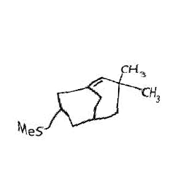 CSC1CC2=CC(C)(C)CC(C2)C1